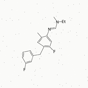 CCN(C)C=Nc1cc(F)c(Cc2cccc(F)c2)cc1C